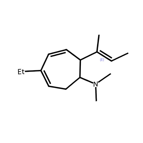 C/C=C(\C)C1C=CC(CC)=CCC1N(C)C